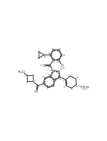 CC1CN(C(=O)c2ccc3c(C4=CC[C@@H](C(=O)O)CC4)nn(C(=O)c4c(Cl)cccc4C4CC4)c3c2)C1